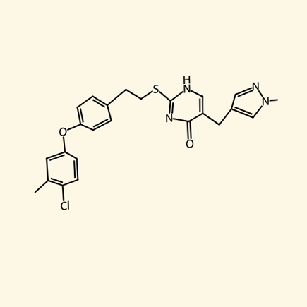 Cc1cc(Oc2ccc(CCSc3nc(=O)c(Cc4cnn(C)c4)c[nH]3)cc2)ccc1Cl